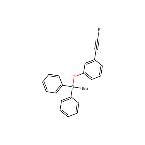 CCC#Cc1cccc(O[Si](c2ccccc2)(c2ccccc2)C(C)(C)C)c1